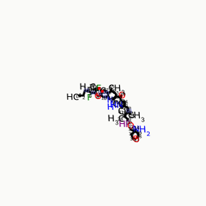 C#CC/C=C\C(F)=C(\OC(=C\CCC)/C=C1/NC(C)=C(C(=O)c2cc(/C=C(/C)CC(C)CPOCC3(N)CCOCC3)c(C)[nH]2)CC(C)/C1=C/C)C(C)F